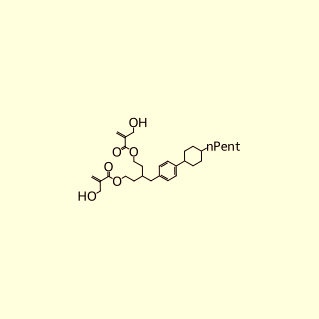 C=C(CO)C(=O)OCCC(CCOC(=O)C(=C)CO)Cc1ccc(C2CCC(CCCCC)CC2)cc1